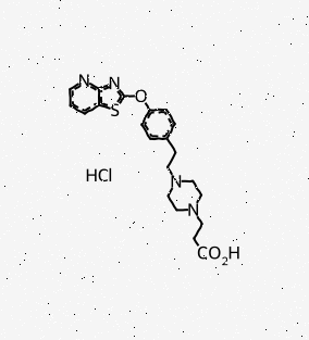 Cl.O=C(O)CCN1CCN(CCc2ccc(Oc3nc4ncccc4s3)cc2)CC1